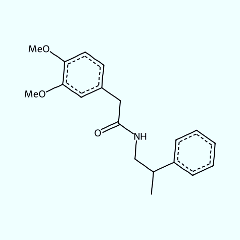 COc1ccc(CC(=O)NCC(C)c2ccccc2)cc1OC